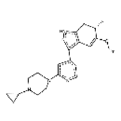 CC(C)OC1=Cc2c(-c3cc(N4CCN(C5CC5)CC4)ncn3)n[nH]c2C[C@@H]1F